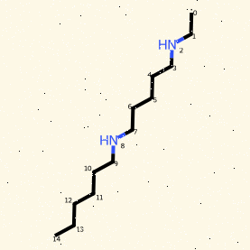 [CH2]CNCCCCCNCCCCCC